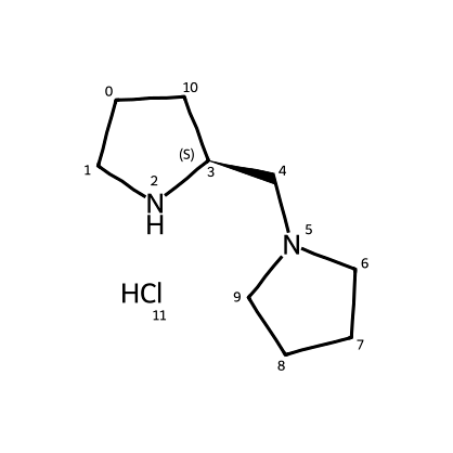 C1CN[C@H](CN2CCCC2)C1.Cl